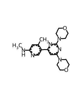 CNc1cc(C)c(-c2cc(N3CCOCC3)nc(N3CCOCC3)n2)cn1